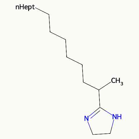 CCCCCCCCCCCCCC(C)C1=NCCN1